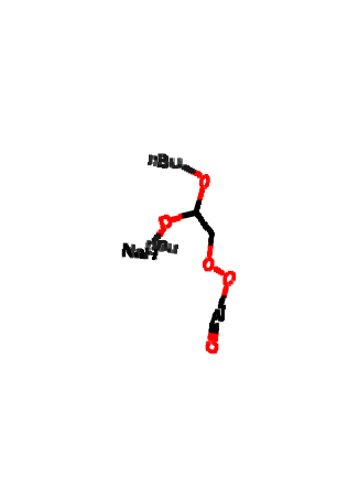 CCCCOC(CO[O][Al]=[O])OCCCC.[NaH]